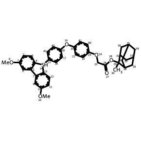 COc1ccc2c(c1)-c1cc(OC)ccc1[SH]2c1ccc(Oc2ccc(OCC(=O)OC3(C)C4CC5CC(C4)CC3C5)cc2)cc1